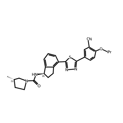 CC(C)Oc1ccc(-c2nnc(-c3cccc4c3CC[C@H]4NC(=O)N3CC[C@H](C)C3)s2)cc1C#N